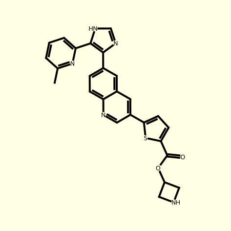 Cc1cccc(-c2[nH]cnc2-c2ccc3ncc(-c4ccc(C(=O)OC5CNC5)s4)cc3c2)n1